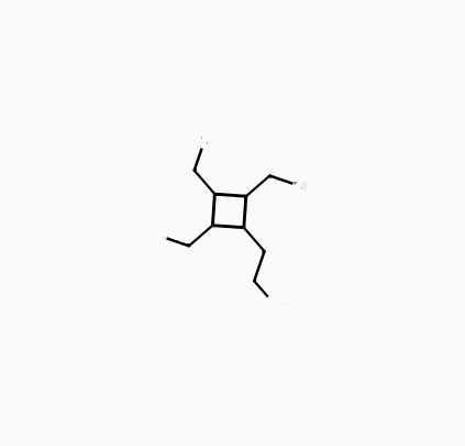 NCC1C(CN)C(CCO)C1CO